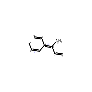 C=C/C(N)=C(C=C)\C=C/C